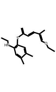 C=C(C=CC(C)=COCC)Sc1cc(C)c(C)cc1NCC